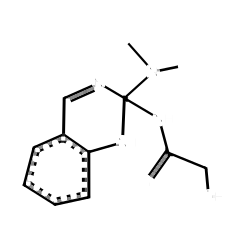 CN(C)C1(NC(=O)CO)N=Cc2ccccc2N1